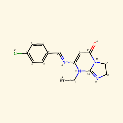 CC(C)CN1C(N=Cc2ccc(Cl)cc2)=CC(=O)N2CCN=C21